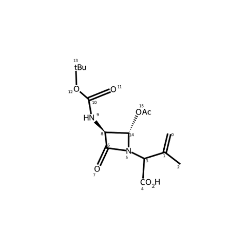 C=C(C)C(C(=O)O)N1C(=O)[C@@H](NC(=O)OC(C)(C)C)[C@@H]1OC(C)=O